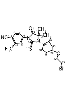 CC1(C)C(=O)N(c2ccc(C#N)c(C(F)(F)F)c2)C(=S)N1[C@H]1CC[C@H](OCCBr)CC1